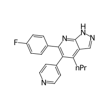 CCCc1c(-c2ccncc2)c(-c2ccc(F)cc2)nc2[nH]ncc12